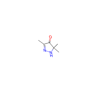 CC1=NNC(C)(C)C1=O